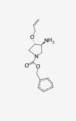 C=CCO[C@H]1CN(C(=O)OCc2ccccc2)C[C@@H]1N